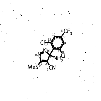 CSC1=C(C#N)C(N)(c2c(Cl)cc(C(F)(F)F)cc2Cl)N=N1